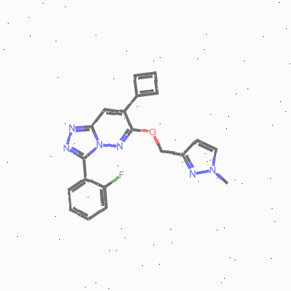 Cn1ccc(COc2nn3c(-c4ccccc4F)nnc3cc2C2=CC=C2)n1